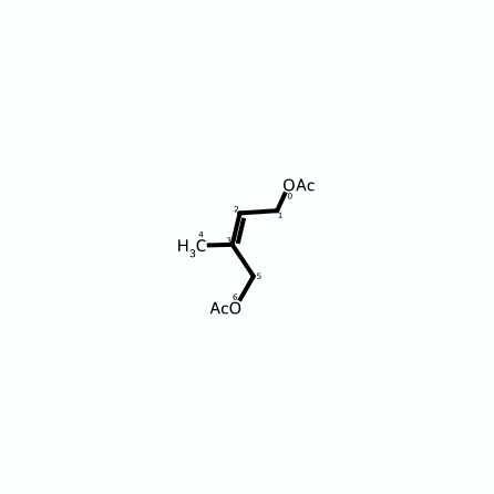 CC(=O)OCC=C(C)COC(C)=O